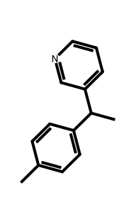 Cc1ccc(C(C)c2cccnc2)cc1